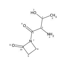 CC(O)C(N)C(=O)N1CCC1=O